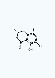 Cc1cc(Cl)c(O)c2c1C[C@@H](C)OC2=O